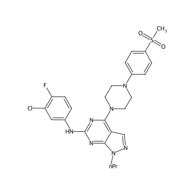 CCCn1ncc2c(N3CCN(c4ccc(S(C)(=O)=O)cc4)CC3)nc(Nc3ccc(F)c(Cl)c3)nc21